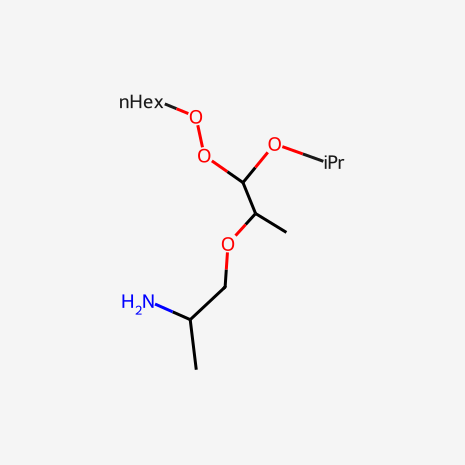 CCCCCCOOC(OC(C)C)C(C)OCC(C)N